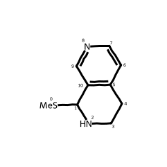 CSC1NCCc2ccncc21